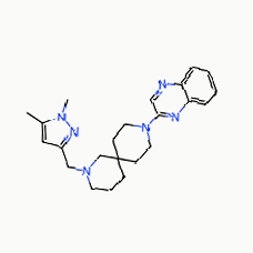 Cc1cc(CN2CCCC3(CCN(c4cnc5ccccc5n4)CC3)C2)nn1C